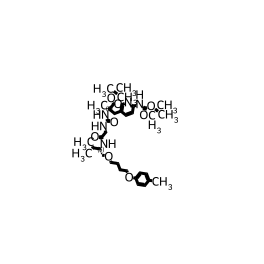 Cc1ccc(OCCCCOC[C@@H](NC(=O)CNC(=O)N[C@@](C)(Cc2ccc(NC(=O)OC(C)(C)C)nc2)C(=O)OC(C)(C)C)C(C)C)cc1